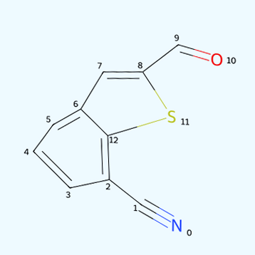 N#Cc1cccc2cc(C=O)sc12